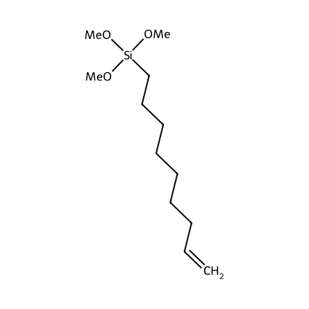 C=CCCCCCCC[Si](OC)(OC)OC